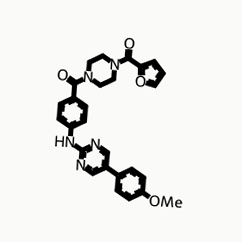 COc1ccc(-c2cnc(Nc3ccc(C(=O)N4CCN(C(=O)c5ccco5)CC4)cc3)nc2)cc1